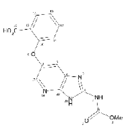 COC(=O)Nc1nc2cc(Oc3ccccc3C(=O)O)cnc2[nH]1